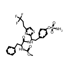 COC(=O)NC(Cc1ccccc1)C(=O)NC(Cc1ccc(OS(N)(=O)=O)cc1)c1nc(CCC(F)(F)F)cs1